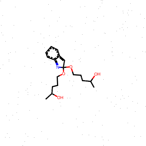 CC(O)CCCOC1(OCCCC(C)O)C=c2ccccc2=N1